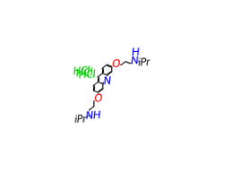 CC(C)NCCCOc1ccc2cc3ccc(OCCCNC(C)C)cc3nc2c1.Cl.Cl.Cl